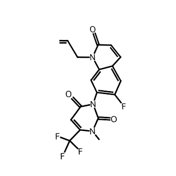 C=CCn1c(=O)ccc2cc(F)c(-n3c(=O)cc(C(F)(F)F)n(C)c3=O)cc21